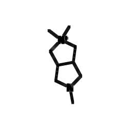 CN1CC2C[N+](C)(C)CC2C1